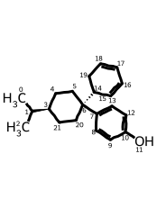 CC(C)[C@H]1CC[C@](c2ccc(O)cc2)(C2C=CC=CC2)CC1